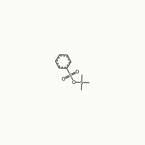 CS(C)(C)OS(=O)(=O)c1ccccc1